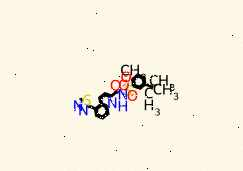 COc1ccc(C(C)(C)C)cc1S(=O)(=O)NC(=O)c1ccc2c(-c3nncs3)cccc2n1